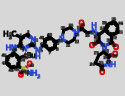 Cc1cnc(Nc2ccc(N3CCN(C(=O)CNC4C(=O)N(C5CCC(=O)NC5=O)C(=O)c5ccccc54)CC3)cc2)nc1Nc1cccc(S(N)(=O)=O)c1C(C)(C)C